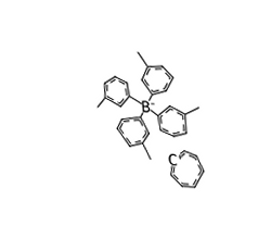 Cc1cccc([B-](c2cccc(C)c2)(c2cccc(C)c2)c2cccc(C)c2)c1.c1ccc[cH+]cc1